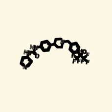 O=C(Nc1ccncc1)Nc1ccc(C2CCN(Cc3ccc(C(O)(C(F)(F)F)C(F)(F)F)cc3)CC2)cc1